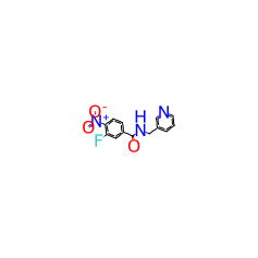 O=C(NCc1cccnc1)c1ccc([N+](=O)[O-])c(F)c1